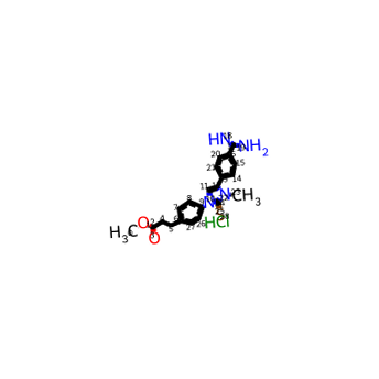 COC(=O)CCc1ccc(-n2cc(-c3ccc(C(=N)N)cc3)n(C)c2=S)cc1.Cl